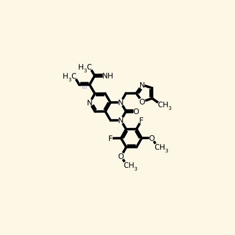 C/C=C(\C(C)=N)c1cc2c(cn1)CN(c1c(F)c(OC)cc(OC)c1F)C(=O)N2Cc1ncc(C)o1